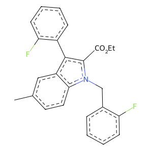 CCOC(=O)c1c(-c2ccccc2F)c2cc(C)ccc2n1Cc1ccccc1F